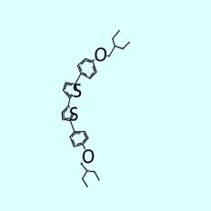 CCC(CC)COc1ccc(-c2ccc(-c3ccc(-c4ccc(OCC(CC)CC)cc4)s3)s2)cc1